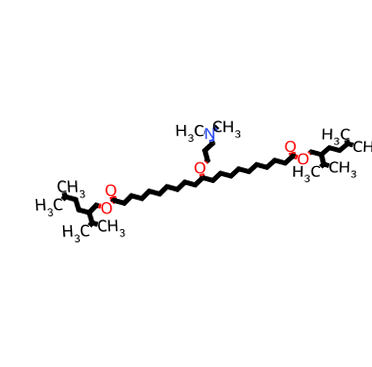 CC(C)CCC(COC(=O)CCCCCCCCCC(CCCCCCCCCC(=O)OCC(CCC(C)C)C(C)C)OCCCN(C)C)C(C)C